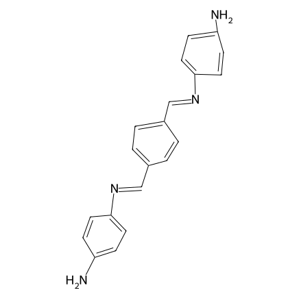 Nc1ccc(/N=C/c2ccc(/C=N/c3ccc(N)cc3)cc2)cc1